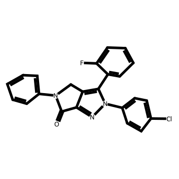 O=C1c2nn(-c3ccc(Cl)cc3)c(-c3ccccc3F)c2CN1c1ccccc1